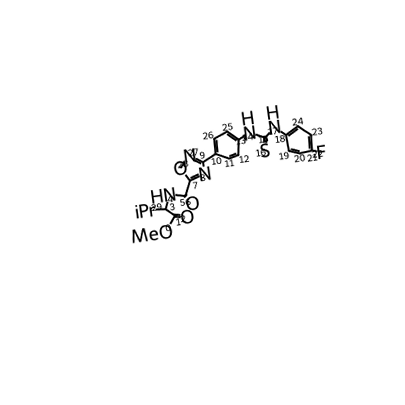 COC(=O)C(NC(=O)c1nc(-c2ccc(NC(=S)Nc3ccc(F)cc3)cc2)no1)C(C)C